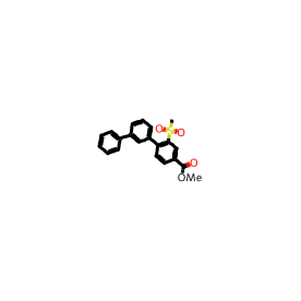 COC(=O)c1ccc(-c2cccc(-c3ccccc3)c2)c(S(C)(=O)=O)c1